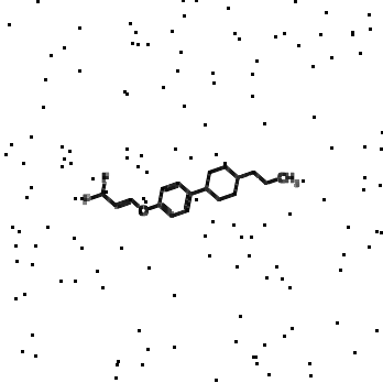 CCCC1CCC(c2ccc(O/C=C/C(F)F)cc2)CC1